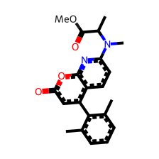 COC(=O)C(C)N(C)c1ccc2c(-c3c(C)cccc3C)cc(=O)oc2n1